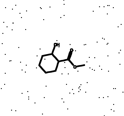 COC(=O)C1CCCCC1O